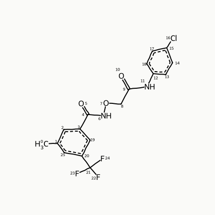 Cc1cc(C(=O)NOCC(=O)Nc2ccc(Cl)cc2)cc(C(F)(F)F)c1